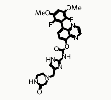 COc1cc(OC)c(F)c(-c2ccc(OC(=O)Nc3nc(CN4CCNC(=O)C4)c[nH]3)c3nccnc23)c1F